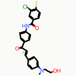 CN(CCO)c1ccc(/C=C/C(=O)c2ccc(NC(=O)c3ccc(F)c(Cl)c3)cc2)cc1